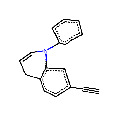 C#Cc1ccc2c(c1)N(c1ccccc1)C=CC2